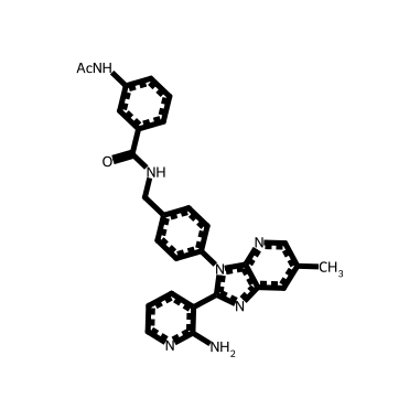 CC(=O)Nc1cccc(C(=O)NCc2ccc(-n3c(-c4cccnc4N)nc4cc(C)cnc43)cc2)c1